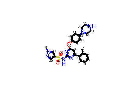 Cc1ccccc1-c1cc(Oc2ccc(N3CCNCC3)cc2)nc(NS(=O)(=O)c2cnn(C)c2)n1